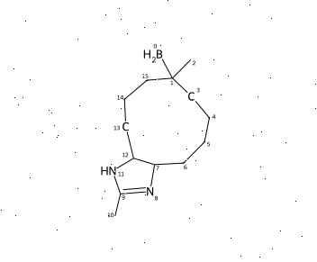 BC1(C)CCCCC2N=C(C)NC2CCC1